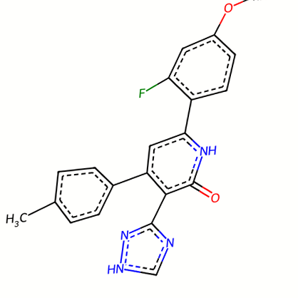 CCCCOc1ccc(-c2cc(-c3ccc(C)cc3)c(-c3nc[nH]n3)c(=O)[nH]2)c(F)c1